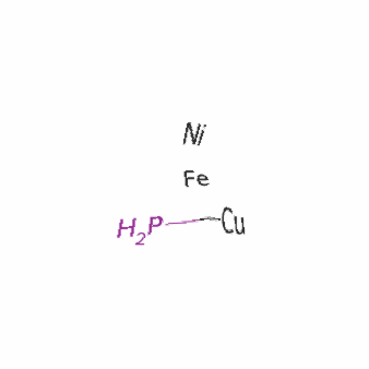 [Fe].[Ni].[PH2][Cu]